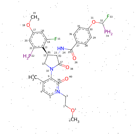 COCCn1ccc(C)c(N2C[C@@H](c3c(F)cc(OC)cc3P)[C@H](NC(=O)c3ccc(OC(F)P)cc3)C2=O)c1=O